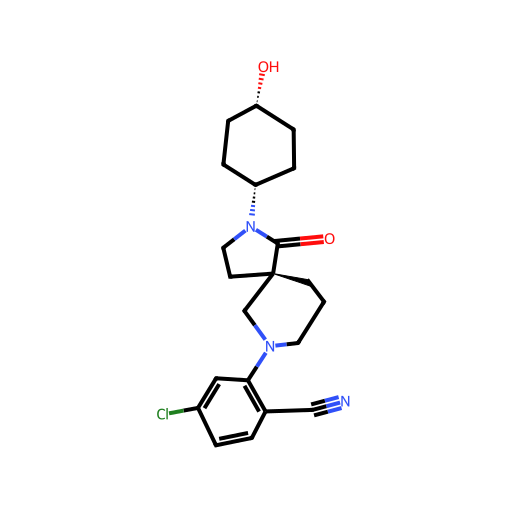 N#Cc1ccc(Cl)cc1N1CCC[C@]2(CCN([C@H]3CC[C@@H](O)CC3)C2=O)C1